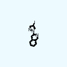 Ic1cnn(-c2cc3ccccc3cn2)c1